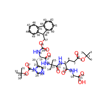 CC(C)(C)OC(=O)CC[C@H](NC(=O)C(C)(C)NC(=O)[C@H](Cc1cncn1C(=O)OC(C)(C)C)NC(=O)OCC1c2ccccc2-c2ccccc21)C(=O)NCC(=O)O